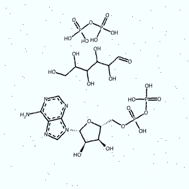 Nc1ncnc2c1ncn2[C@@H]1O[C@H](COP(=O)(O)OP(=O)(O)O)[C@@H](O)[C@H]1O.O=CC(O)C(O)C(O)C(O)CO.O=P(O)(O)OP(=O)(O)O